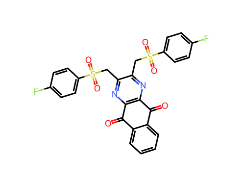 O=C1c2ccccc2C(=O)c2nc(CS(=O)(=O)c3ccc(F)cc3)c(CS(=O)(=O)c3ccc(F)cc3)nc21